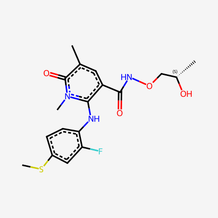 CSc1ccc(Nc2c(C(=O)NOC[C@H](C)O)cc(C)c(=O)n2C)c(F)c1